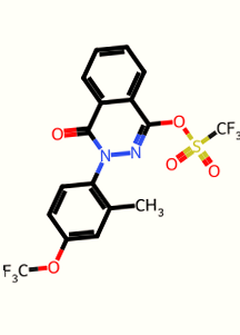 Cc1cc(OC(F)(F)F)ccc1-n1nc(OS(=O)(=O)C(F)(F)F)c2ccccc2c1=O